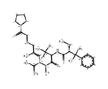 CN[C@H](C(=O)NC(C(=O)N(C)[C@H](/C=C(\C)COCC(=O)N1CCCC1)C(C)C)C(C)(C)C)C(C)(C)c1ccccc1